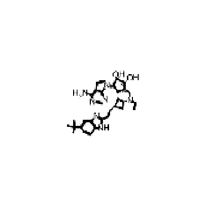 CCN(C[C@H]1C[C@@H](n2ccc3c(N)ncnc32)[C@H](O)[C@@H]1O)[C@H]1C[C@H](CCc2nc3cc(C(C)(C)C)ccc3[nH]2)C1